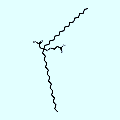 CCCCCCCCCCCCCCCCCCC(CCCCCCCCCCCCCCCCCC)(CC(=O)O)SSCCC(=O)O